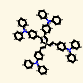 C(=C\[Si](/C=C/c1ccc(N(c2ccccc2)c2ccccc2)cc1)(/C=C/c1ccc(N(c2ccccc2)c2ccccc2)cc1)/C=C/c1ccc(N(c2ccccc2)c2ccccc2)cc1)/c1ccc(N(c2ccccc2)c2ccccc2)cc1